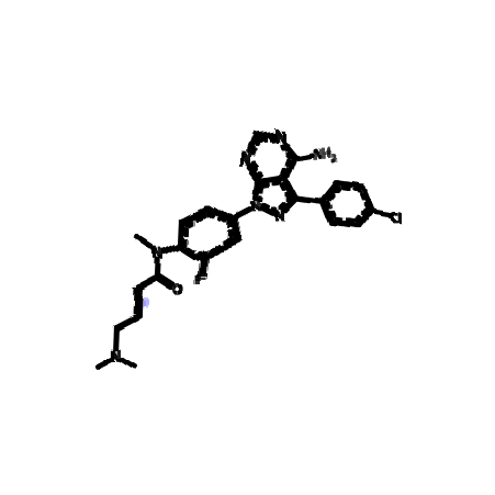 CN(C)C/C=C/C(=O)N(C)c1ccc(-n2nc(-c3ccc(Cl)cc3)c3c(N)ncnc32)cc1F